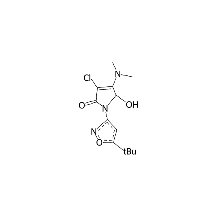 CN(C)C1=C(Cl)C(=O)N(c2cc(C(C)(C)C)on2)C1O